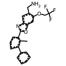 Cc1c(-c2ccccc2)cccc1-c1nc2cc(CN)c(OCC(F)(F)F)cc2o1